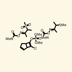 CNC(=O)O/N=C(\C)C(C)S(C)(=O)=O.CNC(=O)O/N=C(\C)C(C)SC.COP(=O)(OC)OC1=C(Cl)C2C=CCC12